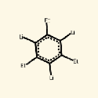 [Li][c]1c(CC)[c]([Li])c(CC)[c]([Li])c1CC